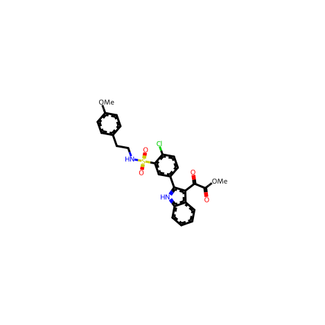 COC(=O)C(=O)c1c(-c2ccc(Cl)c(S(=O)(=O)NCCc3ccc(OC)cc3)c2)[nH]c2ccccc12